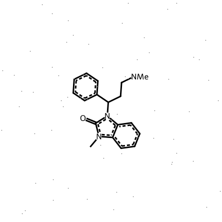 CNCCC(c1ccccc1)n1c(=O)n(C)c2ccccc21